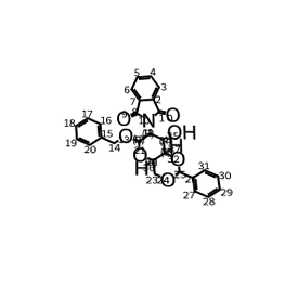 O=C1c2ccccc2C(=O)N1[C@H]1[C@H](OCc2ccccc2)O[C@@H]2COC(c3ccccc3)O[C@H]2[C@@H]1O